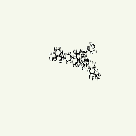 BC(B)(C(=O)Nc1cc(F)c(C(F)(F)F)cc1C)n1c(CC)c(N2CCN(C(=O)c3ncnc(C)c3O)CC2)c(=O)n2nc(C3=CCOCC3)nc12